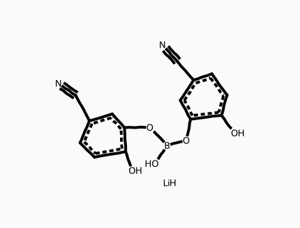 N#Cc1ccc(O)c(OB(O)Oc2cc(C#N)ccc2O)c1.[LiH]